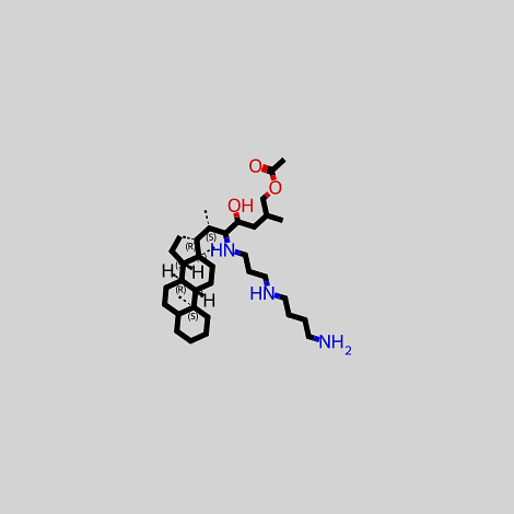 CC(=O)OCC(C)CC(O)C(NCCCNCCCCN)[C@@H](C)[C@H]1CC[C@H]2[C@@H]3CCC4CCCC[C@]4(C)[C@H]3CC[C@]12C